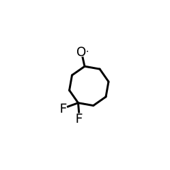 [O]C1CCCCC(F)(F)CC1